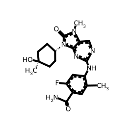 Cc1cc(C(N)=O)c(F)cc1Nc1ncc2c(n1)n([C@H]1CC[C@](C)(O)CC1)c(=O)n2C